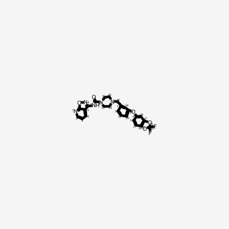 O=C(Nc1noc2ncccc12)N1CCN(Cc2cccc(Oc3ccc4c(c3)OC(F)(F)O4)c2)CC1